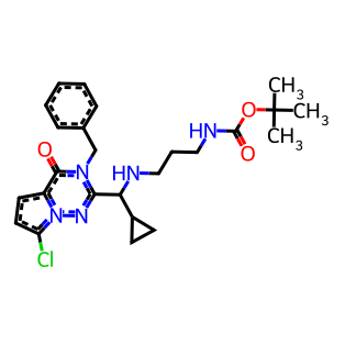 CC(C)(C)OC(=O)NCCCNC(c1nn2c(Cl)ccc2c(=O)n1Cc1ccccc1)C1CC1